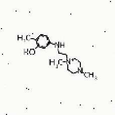 Cc1ccc(NCC[N+]2(C)CCN(C)CC2)cc1O